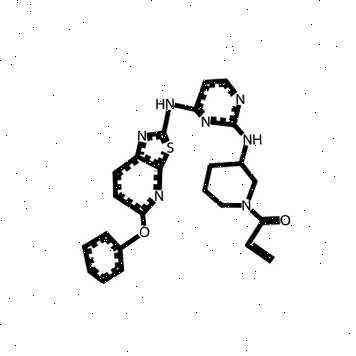 C=CC(=O)N1CCCC(Nc2nccc(Nc3nc4ccc(Oc5ccccc5)nc4s3)n2)C1